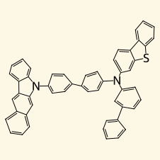 c1ccc(-c2cccc(N(c3ccc(-c4ccc(-n5c6ccccc6c6cc7ccccc7cc65)cc4)cc3)c3ccc4c(c3)sc3ccccc34)c2)cc1